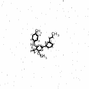 CCCc1cccc(-c2nc(Nc3ccc(C)cc3)c(C(F)(F)F)c(OC)n2)n1